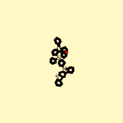 C1=C2Sc3ccccc3C2Cc2c1n(-c1ccc([Si](c3ccccc3)(c3ccccc3)c3cccc4c3c3ccccc3n4-c3ccccc3)cc1)c1ccccc21